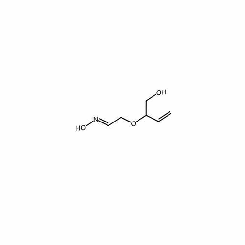 C=CC(CO)OC/C=N/O